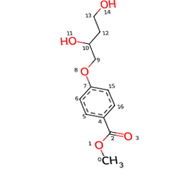 COC(=O)c1ccc(OCC(O)CCO)cc1